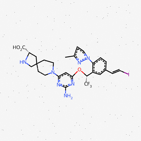 Cc1ccn(-c2ccc(/C=C/I)cc2[C@@H](Oc2cc(N3CCC4(CC3)CN[C@H](C(=O)O)C4)nc(N)n2)C(F)(F)F)n1